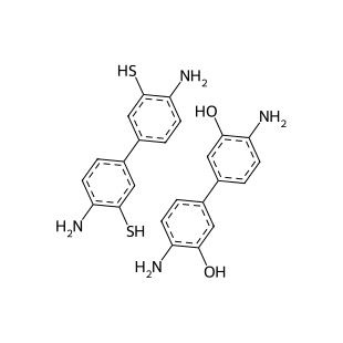 Nc1ccc(-c2ccc(N)c(O)c2)cc1O.Nc1ccc(-c2ccc(N)c(S)c2)cc1S